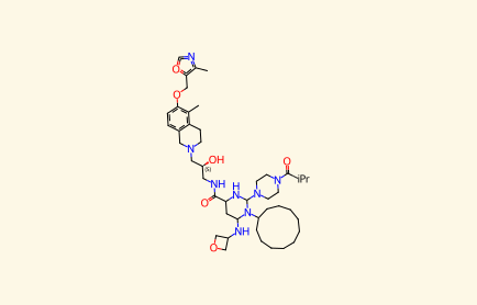 Cc1ncoc1COc1ccc2c(c1C)CCN(C[C@@H](O)CNC(=O)C1CC(NC3COC3)N(C3CCCCCCCCCC3)C(N3CCN(C(=O)C(C)C)CC3)N1)C2